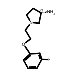 N[C@H]1CCN(CCOc2cccc(F)c2)C1